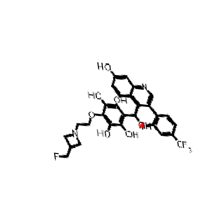 Oc1ccc2c(C(O)c3c(O)c(O)c(OCCN4CC(CF)C4)c(O)c3O)c(-c3ccc(C(F)(F)F)cc3F)cnc2c1